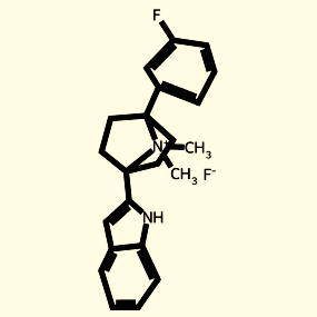 C[N+]1(C)C2(c3cccc(F)c3)CCC1(c1cc3ccccc3[nH]1)CC2.[F-]